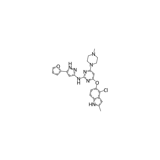 Cc1cc2c(Cl)c(Oc3cc(N4CCN(C)CC4)nc(Nc4cc(-c5ccco5)[nH]n4)n3)ccc2[nH]1